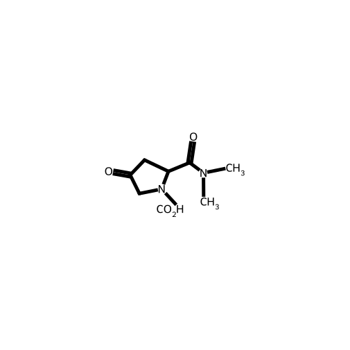 CN(C)C(=O)C1CC(=O)CN1C(=O)O